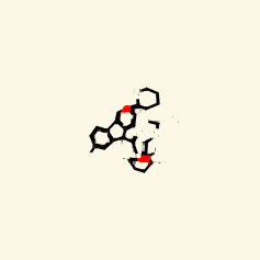 N#C[C@@H](C[C@H]1CCCNC1=O)NC(=O)[C@H]1[C@@H]2CC[C@@H](CC2(F)F)N1C(=O)[C@@]1(O)c2ccccc2-c2ccc(Cl)cc21